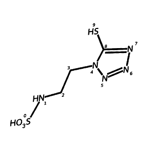 O=S(=O)(O)NCCn1nnnc1S